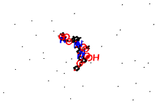 Cc1c(-c2ccc(N3CCc4c(OCc5ccccc5)ccc(C(=O)O)c4C3)nc2C(=O)OC(C)(C)C)cnn1CC12CC3(C)CC(C)(C1)CC(OCCN(C)C(=O)OC(C)(C)C)(C3)C2